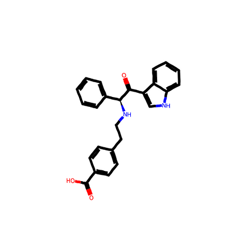 O=C(O)c1ccc(CCN[C@H](C(=O)c2c[nH]c3ccccc23)c2ccccc2)cc1